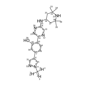 [2H]C([2H])([2H])n1cc(-c2ccc(-c3ncc(NC4CC(C)(C)NC(C)(C)C4)nn3)c(O)c2)cn1